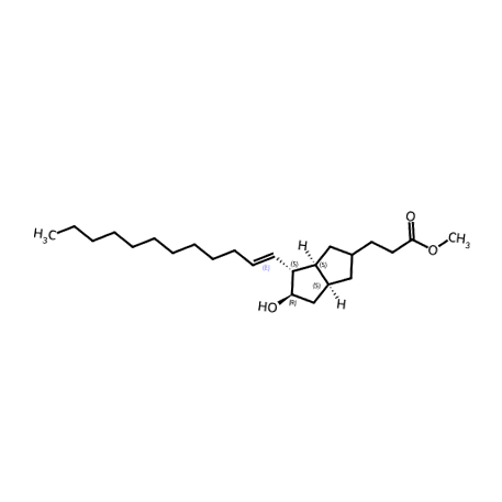 CCCCCCCCCC/C=C/[C@@H]1[C@H]2CC(CCC(=O)OC)C[C@H]2C[C@H]1O